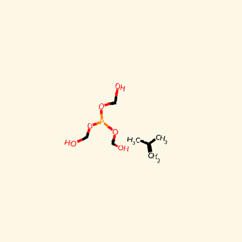 C=C(C)C.OCOP(OCO)OCO